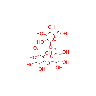 O=C[C@H](O)[C@@H](O)[C@H](O[C@@H]1O[C@H](CO[C@@H]2O[C@H](CO)[C@@H](O)[C@H](O)[C@H]2O)[C@@H](O)[C@H](O)[C@H]1O)[C@H](O)CO